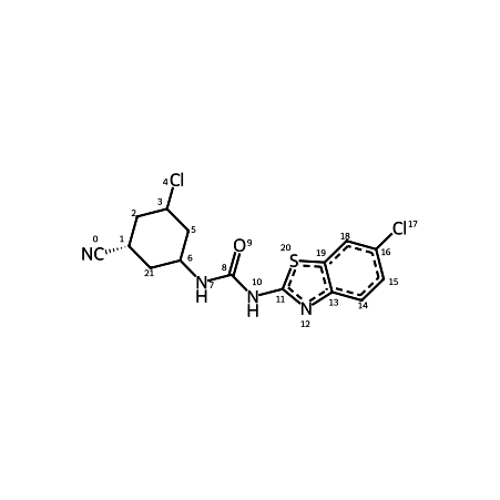 N#C[C@@H]1CC(Cl)CC(NC(=O)Nc2nc3ccc(Cl)cc3s2)C1